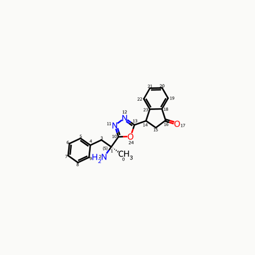 C[C@](N)(Cc1ccccc1)c1nnc(C2CC(=O)c3ccccc32)o1